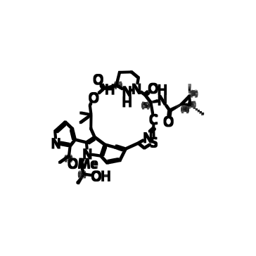 CO[C@@H](C)c1ncccc1-c1c2c3cc(ccc3n1C[C@H](C)O)C1CSC(=N1)C[C@H](NC(=O)[C@H]1[C@H](C)[C@@H]1C)C(=O)N1CCC[C@H](N1)C(=O)OCC(C)(C)C2